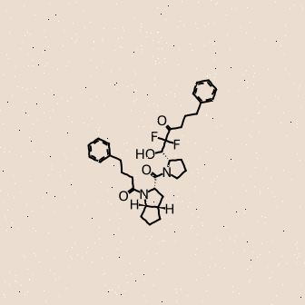 O=C([C@@H]1C[C@@H]2CCC[C@@H]2N1C(=O)CCCc1ccccc1)N1CCC[C@H]1C(O)C(F)(F)C(=O)CCCc1ccccc1